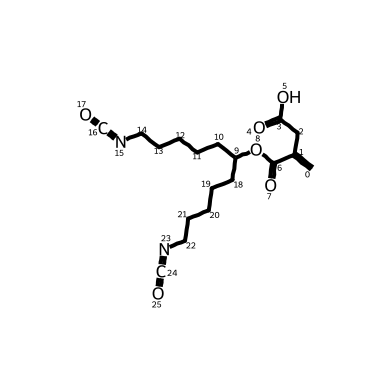 C=C(CC(=O)O)C(=O)OC(CCCCCN=C=O)CCCCCN=C=O